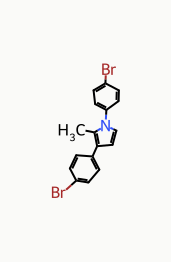 Cc1c(-c2ccc(Br)cc2)ccn1-c1ccc(Br)cc1